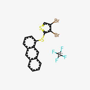 Brc1csc(Sc2cccc3cc4ccccc4cc23)c1Br.F[B-](F)(F)F